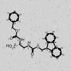 O=C(NC[C@@H](NC(=O)OCc1ccccc1)C(=O)O)OCC1c2ccccc2-c2ccccc21